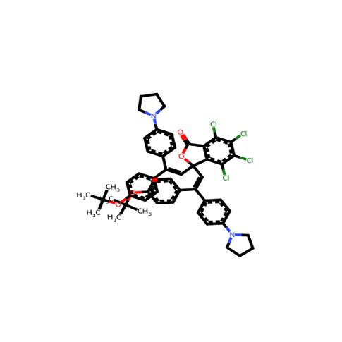 CC(C)(C)Oc1ccc(C(=CC2(C=C(c3ccc(OC(C)(C)C)cc3)c3ccc(N4CCCC4)cc3)OC(=O)c3c(Cl)c(Cl)c(Cl)c(Cl)c32)c2ccc(N3CCCC3)cc2)cc1